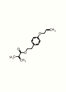 C=CCOc1ccc(CCOC(=O)C(=C)C)cc1